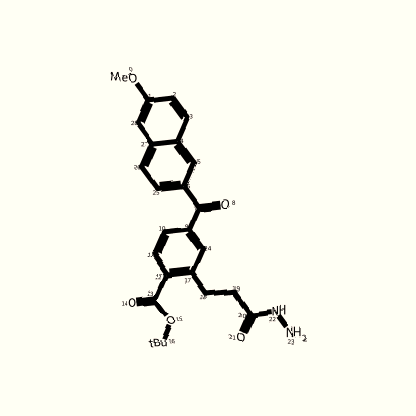 COc1ccc2cc(C(=O)c3ccc(C(=O)OC(C)(C)C)c(CCC(=O)NN)c3)ccc2c1